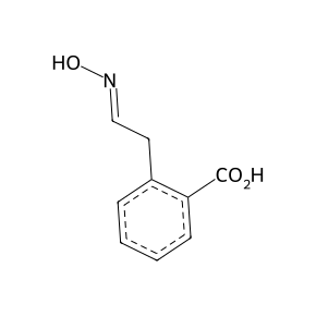 O=C(O)c1ccccc1CC=NO